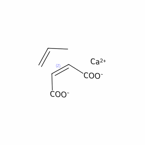 C=CC.O=C([O-])/C=C\C(=O)[O-].[Ca+2]